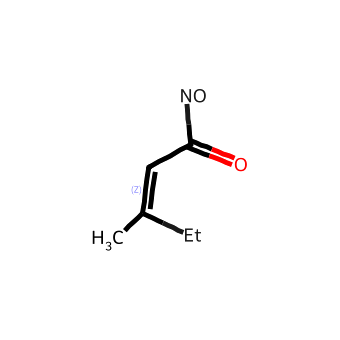 CC/C(C)=C\C(=O)N=O